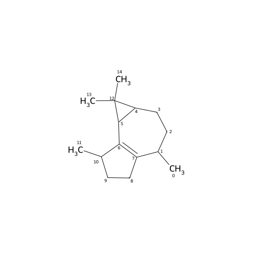 CC1CCC2C(C3=C1CCC3C)C2(C)C